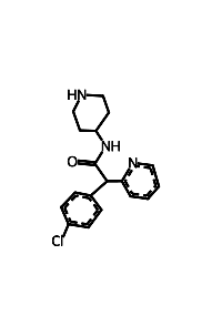 O=C(NC1CCNCC1)C(c1ccc(Cl)cc1)c1ccccn1